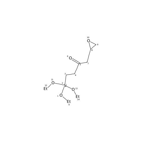 CCO[Si](CCC(=O)CC1CO1)(OCC)OCC